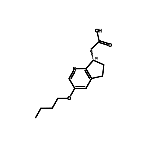 CCCCOc1cnc2c(c1)CC[C@H]2CC(=O)O